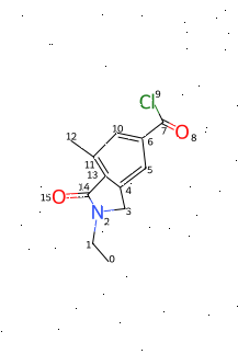 CCN1Cc2cc(C(=O)Cl)cc(C)c2C1=O